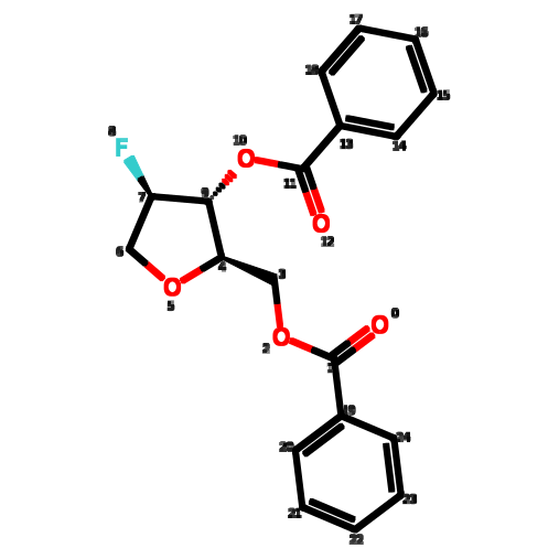 O=C(OC[C@H]1OC[C@@H](F)[C@@H]1OC(=O)c1ccccc1)c1ccccc1